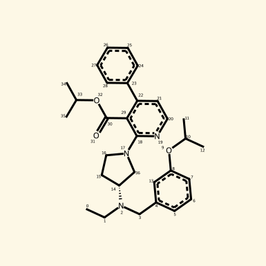 CCN(Cc1cccc(OC(C)C)c1)[C@@H]1CCN(c2nccc(-c3ccccc3)c2C(=O)OC(C)C)C1